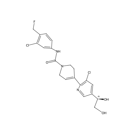 O=C(Nc1ccc(CF)c(Cl)c1)N1CC=C(c2ncc([C@@H](O)CO)cc2Cl)CC1